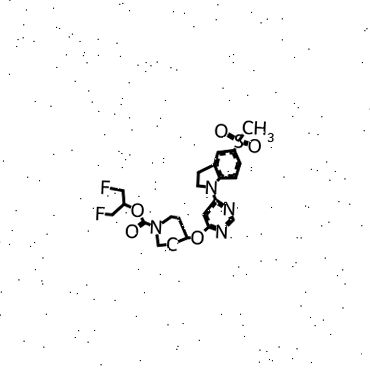 CS(=O)(=O)c1ccc2c(c1)CCN2c1cc(OC2CCN(C(=O)OC(CF)CF)CC2)ncn1